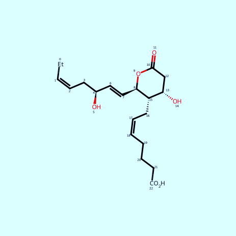 CC/C=C\C[C@H](O)/C=C/[C@H]1OC(=O)C[C@H](O)[C@@H]1C/C=C\CCCC(=O)O